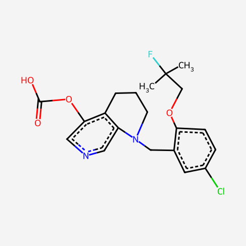 CC(C)(F)COc1ccc(Cl)cc1CN1CCCc2c(OC(=O)O)cncc21